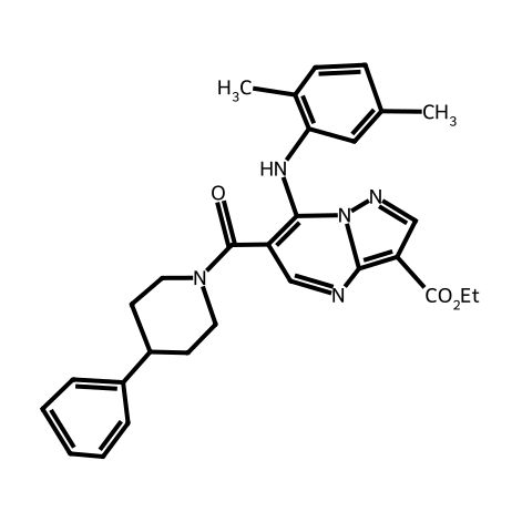 CCOC(=O)c1cnn2c(Nc3cc(C)ccc3C)c(C(=O)N3CCC(c4ccccc4)CC3)cnc12